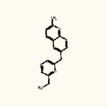 CCc1cncc(Cc2ccc3nc(C)ccc3c2)n1